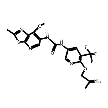 CCc1c(NC(=O)Nc2cnc(OCC(C)=N)c(C(F)(F)F)c2)cnc2sc(C)nc12